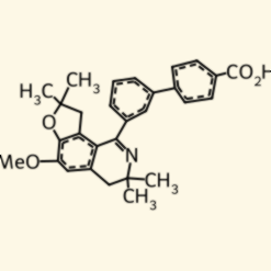 COc1cc2c(c3c1OC(C)(C)C3)C(c1cccc(-c3ccc(C(=O)O)cc3)c1)=NC(C)(C)C2